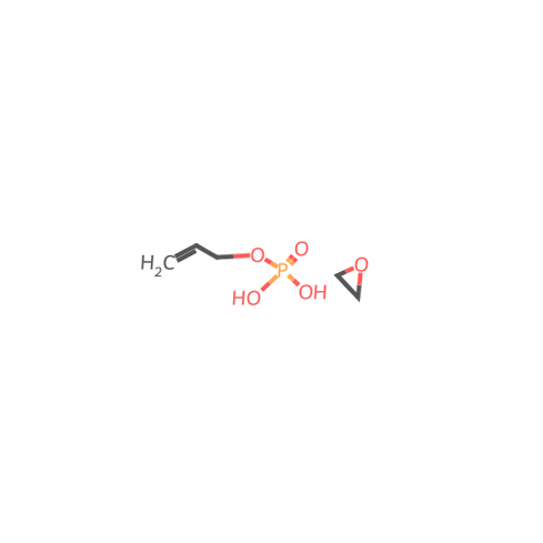 C1CO1.C=CCOP(=O)(O)O